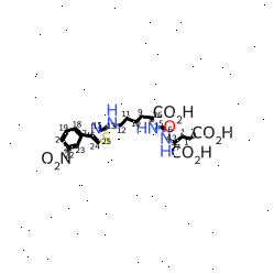 O=C(O)CC[C@H](NC(=O)N[C@@H](CCCCNc1nc(-c2cccc([N+](=O)[O-])c2)cs1)C(=O)O)C(=O)O